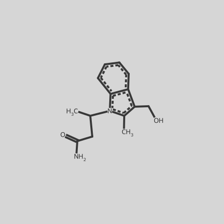 Cc1c(CO)c2ccccc2n1C(C)CC(N)=O